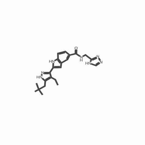 CCc1c(-c2cc3cc(C(=O)NCc4nnc[nH]4)ccc3[nH]2)n[nH]c1CC(C)(C)C